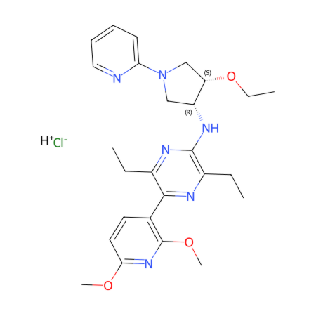 CCO[C@H]1CN(c2ccccn2)C[C@H]1Nc1nc(CC)c(-c2ccc(OC)nc2OC)nc1CC.[Cl-].[H+]